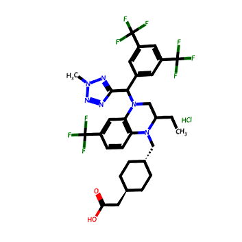 CCC1CN(C(c2cc(C(F)(F)F)cc(C(F)(F)F)c2)c2nnn(C)n2)c2cc(C(F)(F)F)ccc2N1C[C@H]1CC[C@H](CC(=O)O)CC1.Cl